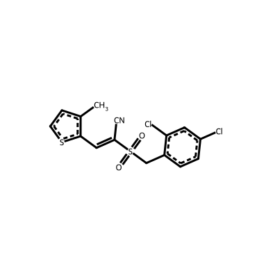 Cc1ccsc1C=C(C#N)S(=O)(=O)Cc1ccc(Cl)cc1Cl